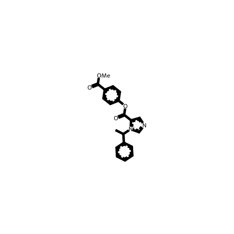 COC(=O)c1ccc(OC(=O)c2cncn2C(C)c2ccccc2)cc1